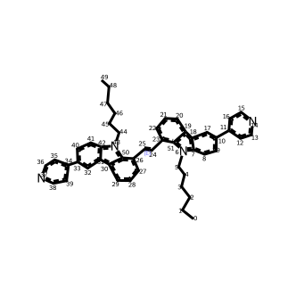 CCCCCCn1c2ccc(-c3ccncc3)cc2c2cccc(/C=C/c3cccc4c5cc(-c6ccncc6)ccc5n(CCCCCC)c34)c21